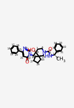 C[C@H](NC(=O)N1CC[C@@](O)(Cn2cnc(-c3ccccc3)cc2=O)C2(CCCC2)C1)c1ccccc1